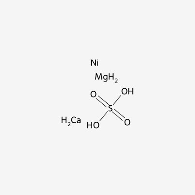 O=S(=O)(O)O.[CaH2].[MgH2].[Ni]